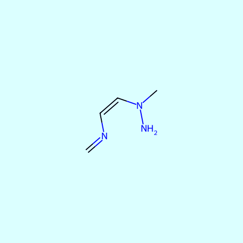 C=N/C=C\N(C)N